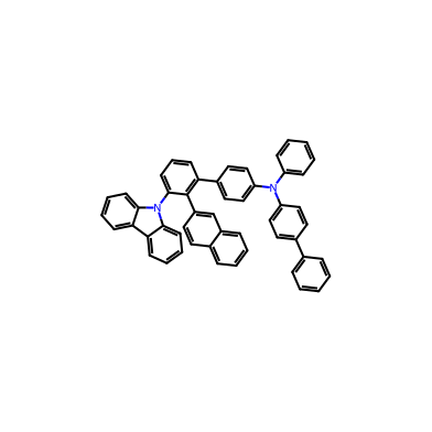 c1ccc(-c2ccc(N(c3ccccc3)c3ccc(-c4cccc(-n5c6ccccc6c6ccccc65)c4-c4ccc5ccccc5c4)cc3)cc2)cc1